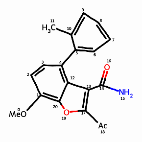 COc1ccc(-c2ccccc2C)c2c(C(N)=O)c(C(C)=O)oc12